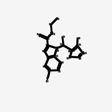 CCOC(=O)c1cc2cc(F)ccc2n1C(C)c1scnc1C